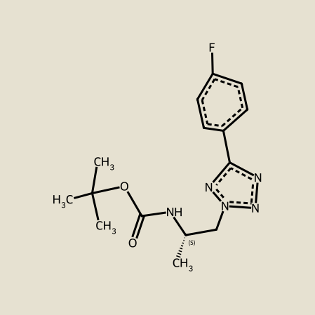 C[C@@H](Cn1nnc(-c2ccc(F)cc2)n1)NC(=O)OC(C)(C)C